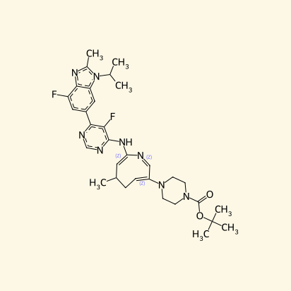 Cc1nc2c(F)cc(-c3ncnc(NC4=C/C(C)C/C=C(N5CCN(C(=O)OC(C)(C)C)CC5)/C=N\4)c3F)cc2n1C(C)C